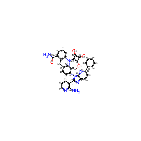 COc1c(Nc2cccc(C(N)=O)c2Cc2ccc(-n3c(-c4cccnc4N)nc4ccc(-c5ccccc5)nc43)cc2)c(=O)c1=O